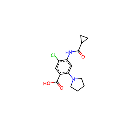 O=C(O)c1cc(Cl)c(NC(=O)C2CC2)cc1N1CCCC1